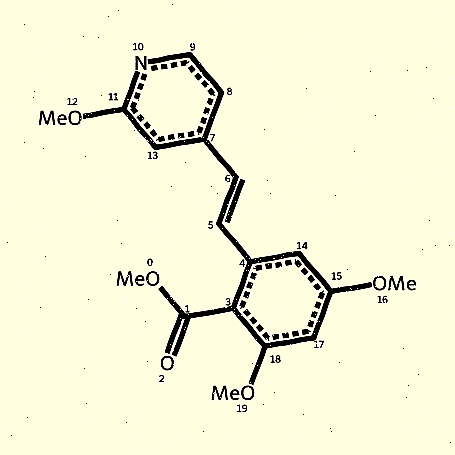 COC(=O)c1c(C=Cc2ccnc(OC)c2)cc(OC)cc1OC